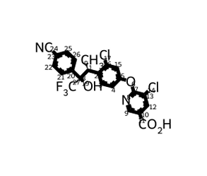 C[C@H](c1ccc(Oc2ncc(C(=O)O)cc2Cl)cc1Cl)[C@@](O)(c1ccc(C#N)cc1)C(F)(F)F